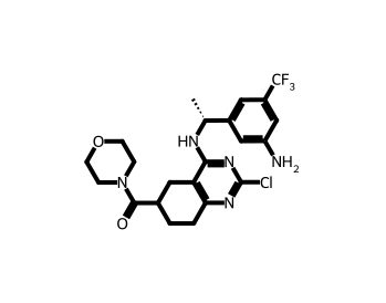 C[C@@H](Nc1nc(Cl)nc2c1CC(C(=O)N1CCOCC1)CC2)c1cc(N)cc(C(F)(F)F)c1